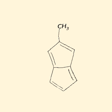 CC1=CC2=CC=CC2=C1